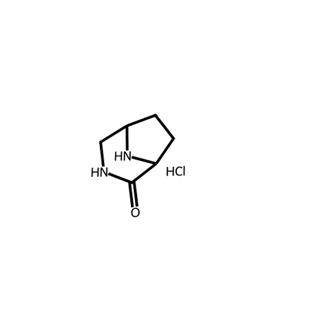 Cl.O=C1NCC2CCC1N2